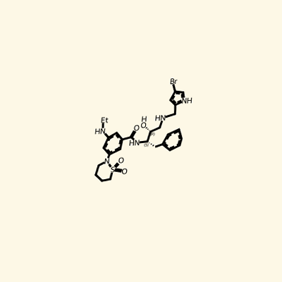 CCNc1cc(C(=O)N[C@@H](Cc2ccccc2)[C@H](O)CNCc2cc(Br)c[nH]2)cc(N2CCCCS2(=O)=O)c1